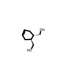 OC[C@H]1CC=CC[C@@H]1CO